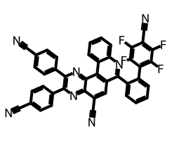 N#Cc1ccc(-c2nc3c(C#N)cc4c(-c5ccccc5-c5c(F)c(F)c(C#N)c(F)c5F)nc5ccccc5c4c3nc2-c2ccc(C#N)cc2)cc1